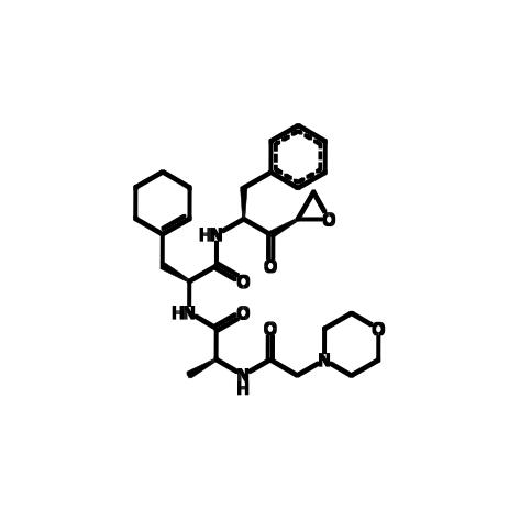 C[C@H](NC(=O)CN1CCOCC1)C(=O)N[C@@H](CC1=CCCCC1)C(=O)N[C@@H](Cc1ccccc1)C(=O)[C@H]1CO1